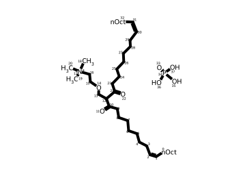 CCCCCCCC/C=C\CCCCCCCC(=O)C(COCC[N+](C)(C)C)C(=O)CCCCCCC/C=C\CCCCCCCC.O=P(O)(O)O